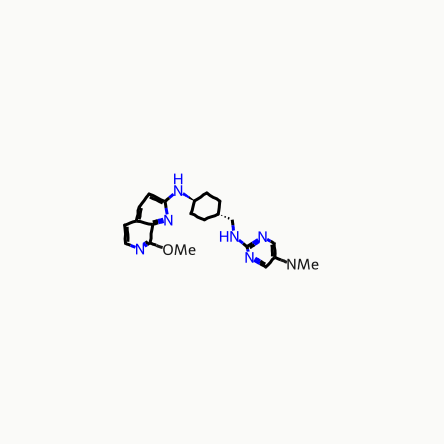 CNc1cnc(NC[C@H]2CC[C@H](Nc3ccc4ccnc(OC)c4n3)CC2)nc1